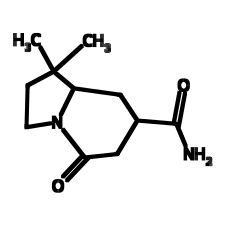 CC1(C)CCN2C(=O)CC(C(N)=O)CC21